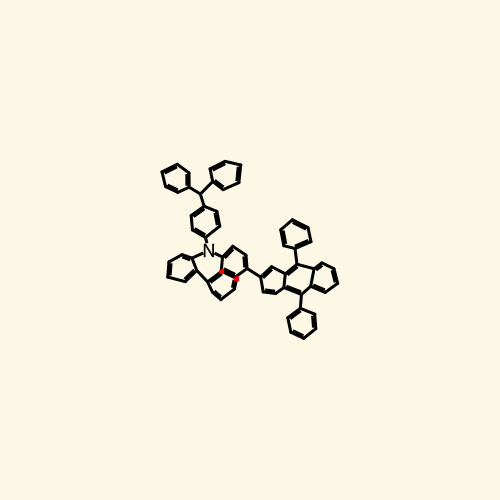 c1ccc(-c2ccccc2N(c2ccc(-c3ccc4c(-c5ccccc5)c5ccccc5c(-c5ccccc5)c4c3)cc2)c2ccc(C(c3ccccc3)c3ccccc3)cc2)cc1